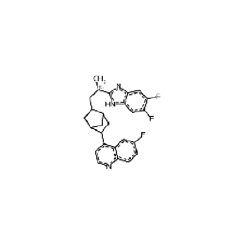 C[C@H](CC1CC2CC1CC2c1ccnc2ccc(F)cc12)c1nc2cc(F)c(F)cc2[nH]1